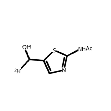 [2H]C(O)c1cnc(NC(C)=O)s1